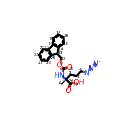 C[C@](CCCN=[N+]=[N-])(NC(=O)OCC1c2ccccc2-c2ccccc21)C(=O)O